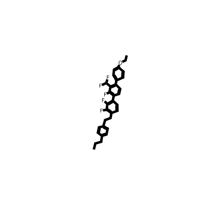 CCCc1ccc(CCc2ccc(-c3ccc(-c4ccc(OCC)cc4)c(C(F)F)c3F)c(F)c2F)cc1